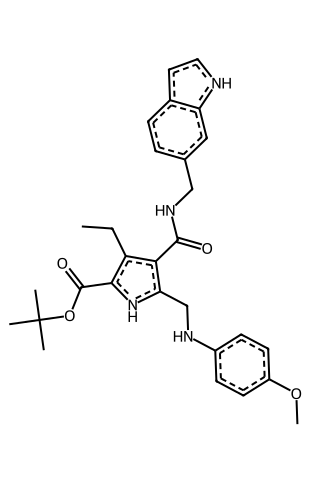 CCc1c(C(=O)OC(C)(C)C)[nH]c(CNc2ccc(OC)cc2)c1C(=O)NCc1ccc2cc[nH]c2c1